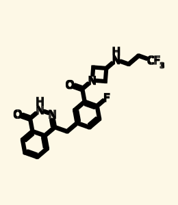 O=C(c1cc(Cc2n[nH]c(=O)c3ccccc23)ccc1F)N1CC(NCCC(F)(F)F)C1